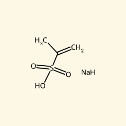 C=C(C)S(=O)(=O)O.[NaH]